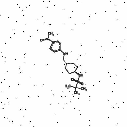 CC(=O)c1ccc(NC[C@H]2CC[C@H](NS(=O)(=O)C(C)(C)C)CC2)cc1